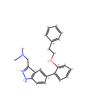 CN(C)Cc1n[nH]c2ccc(-c3ccccc3OCCc3ccccc3)cc12